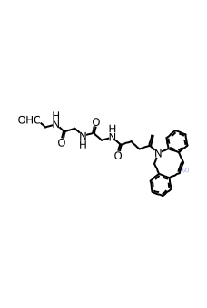 C=C(CCC(=O)NCC(=O)NCC(=O)NCC=O)N1Cc2ccccc2/C=C\c2ccccc21